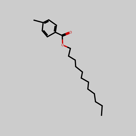 CCCCCCCCCCCCOC(=O)c1ccc(C)cc1